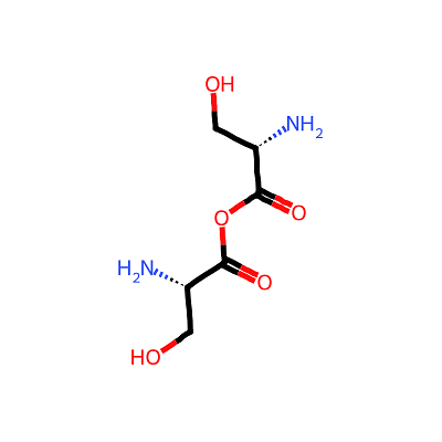 N[C@@H](CO)C(=O)OC(=O)[C@@H](N)CO